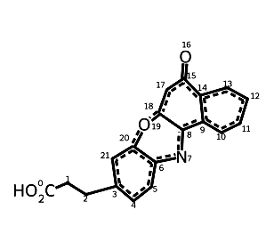 O=C(O)CCc1ccc2nc3c4ccccc4c(=O)cc-3oc2c1